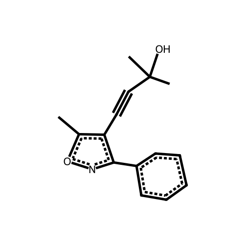 Cc1onc(-c2ccccc2)c1C#CC(C)(C)O